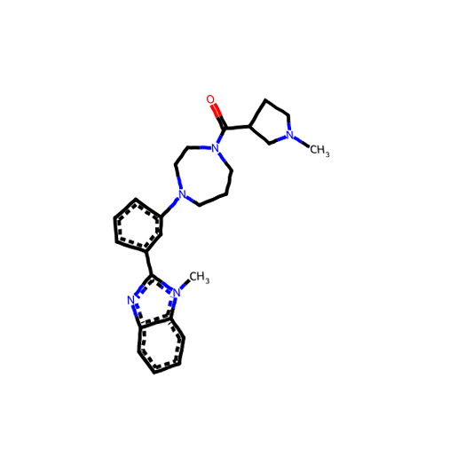 CN1CCC(C(=O)N2CCCN(c3cccc(-c4nc5ccccc5n4C)c3)CC2)C1